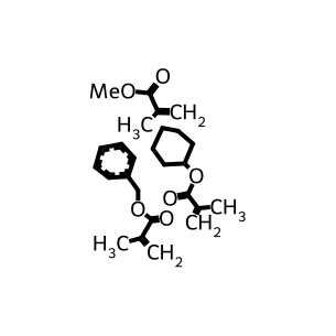 C=C(C)C(=O)OC.C=C(C)C(=O)OC1CCCCC1.C=C(C)C(=O)OCc1ccccc1